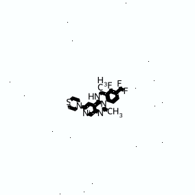 Cc1nc(N[C@H](C)c2cccc(C(F)F)c2F)c2cc(N3CCSCC3)ncc2n1